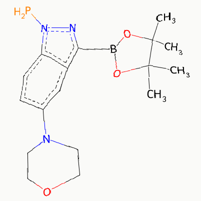 CC1(C)OB(c2nn(P)c3ccc(N4CCOCC4)cc23)OC1(C)C